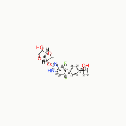 O[C@@H]1CO[C@H]2[C@@H]1OC[C@H]2Oc1nc2c(F)c(-c3ccc(C4(O)CCC4)cc3)c(F)cc2[nH]1